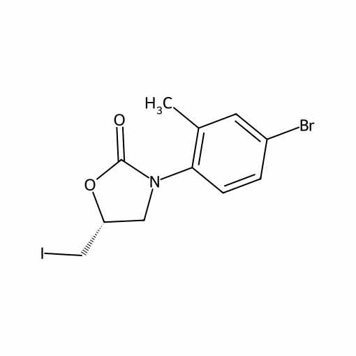 Cc1cc(Br)ccc1N1C[C@H](CI)OC1=O